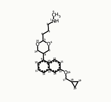 CNCCCC1OCC(c2cccc3cc(OCC4CC4)ccc23)CO1